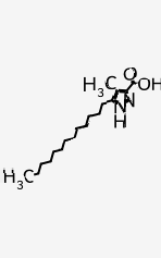 CCCCCCCCCCCCCc1[nH]nc(C(=O)O)c1C